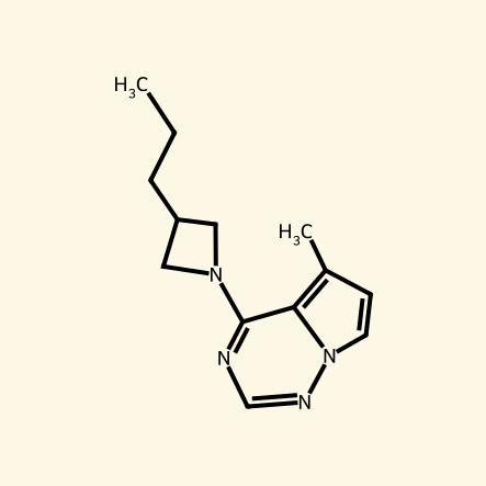 CCCC1CN(c2ncnn3ccc(C)c23)C1